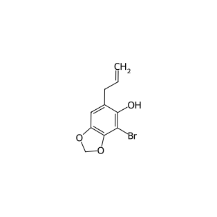 C=CCc1cc2c(c(Br)c1O)OCO2